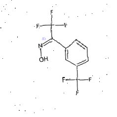 O/N=C(\c1cccc(C(F)(F)F)c1)C(F)(F)F